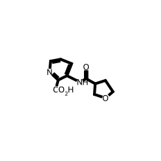 O=C(O)c1ncccc1NC(=O)C1CCOC1